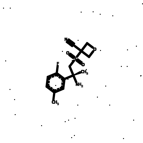 Cc1ccc(F)c([C@@](C)(N)CS(=O)(=O)C2(C#N)COC2)c1